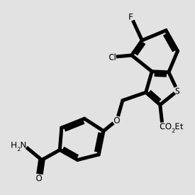 CCOC(=O)c1sc2ccc(F)c(Cl)c2c1COc1ccc(C(N)=O)cc1